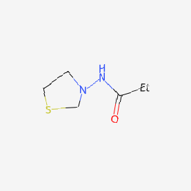 CCC(=O)NN1CCSC1